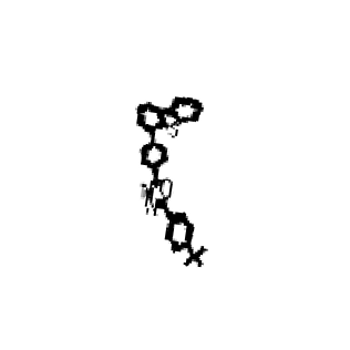 CC(C)(C)c1ccc(-c2nnc(-c3ccc(-c4cccc5c4sc4ccccc45)cc3)o2)cc1